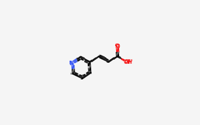 O=C(O)C=Cc1cc[c]nc1